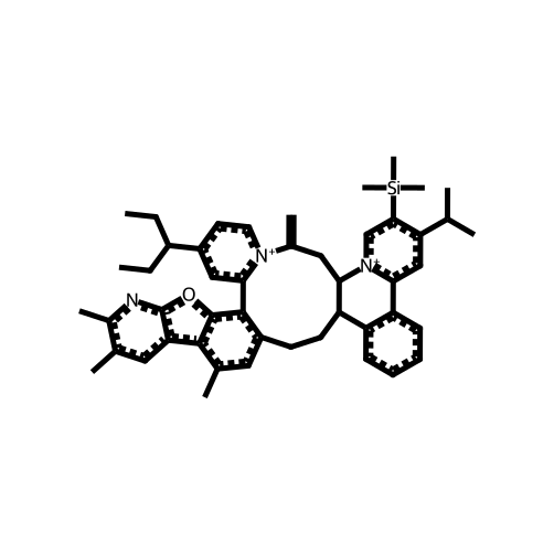 C=C1CC2C(CCc3cc(C)c4c(oc5nc(C)c(C)cc54)c3-c3cc(C(CC)CC)cc[n+]31)c1ccccc1-c1cc(C(C)C)c([Si](C)(C)C)c[n+]12